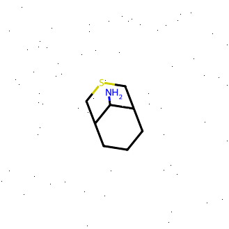 NC1C2CCCC1CSC2